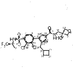 C[C@H](NS(=O)(=O)c1ccc(-c2sc(C(=O)NCC3(O)COC3)nc2CC2CCC2)c(Cl)c1Cl)C(F)(F)F